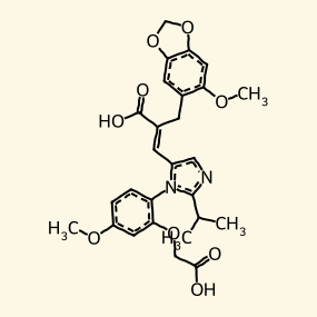 COc1ccc(-n2c(/C=C(\Cc3cc4c(cc3OC)OCO4)C(=O)O)cnc2C(C)C)c(OCC(=O)O)c1